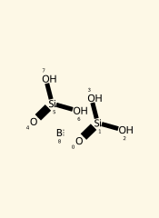 O=[Si](O)O.O=[Si](O)O.[B]